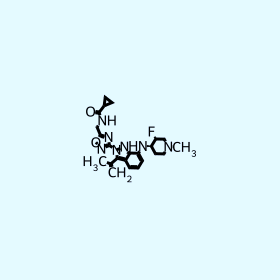 C=C(C)c1c2cccc(N[C@@H]3CCN(C)C[C@@H]3F)c2nn1-c1noc(CNC(=O)C2CC2)n1